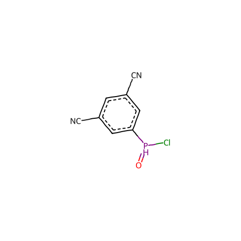 N#Cc1cc(C#N)cc([PH](=O)Cl)c1